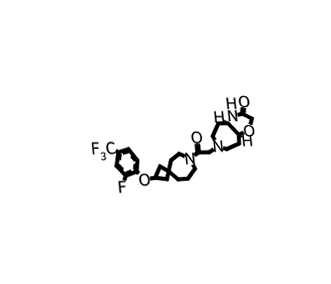 O=C1CO[C@H]2CCN(CC(=O)N3CCCC4(CC3)CC(Oc3ccc(C(F)(F)F)cc3F)C4)CC[C@H]2N1